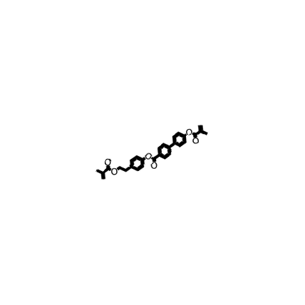 C=C(C)C(=O)OCCc1ccc(OC(=O)c2ccc(-c3ccc(OC(=O)C(=C)C)cc3)cc2)cc1